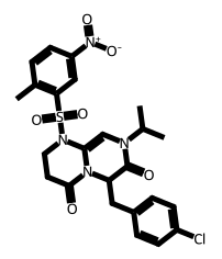 Cc1ccc([N+](=O)[O-])cc1S(=O)(=O)N1CCC(=O)N2C1=CN(C(C)C)C(=O)C2Cc1ccc(Cl)cc1